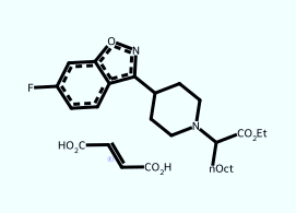 CCCCCCCCC(C(=O)OCC)N1CCC(c2noc3cc(F)ccc23)CC1.O=C(O)/C=C/C(=O)O